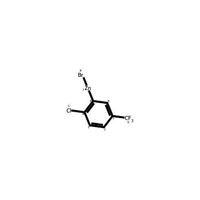 FC(F)(F)c1ccc(Cl)[c]([Zn][Br])c1